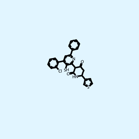 O=C1CC(c2ccsc2)NC(=O)C1c1nc(-c2ccccc2)cc(-c2ccccc2Cl)c1S